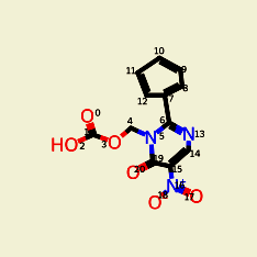 O=C(O)OCn1c(-c2ccccc2)ncc([N+](=O)[O-])c1=O